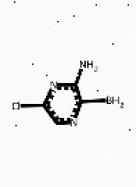 Bc1ncc(Cl)nc1N